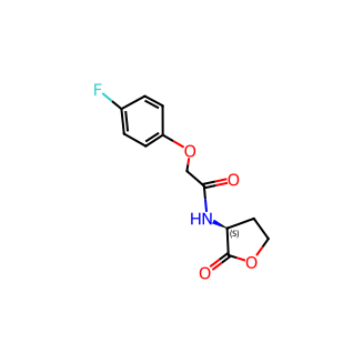 O=C(COc1ccc(F)cc1)N[C@H]1CCOC1=O